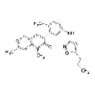 CCCc1nc(Nc2ccc(C)c(-c3cc4cnc(C)cc4n(C)c3=O)c2)no1